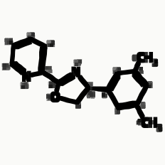 Cc1cc(C)cc([C@H]2COC(c3ccccn3)=N2)c1